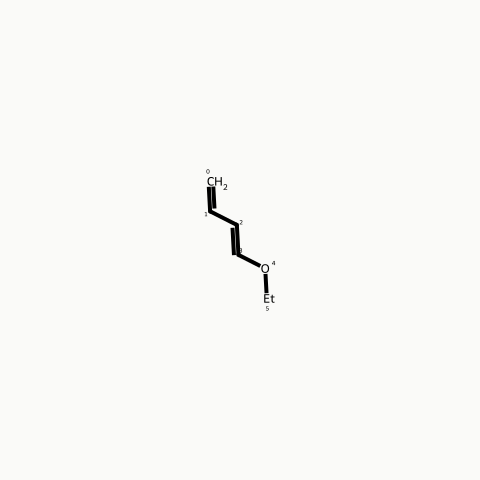 C=C/C=C/OCC